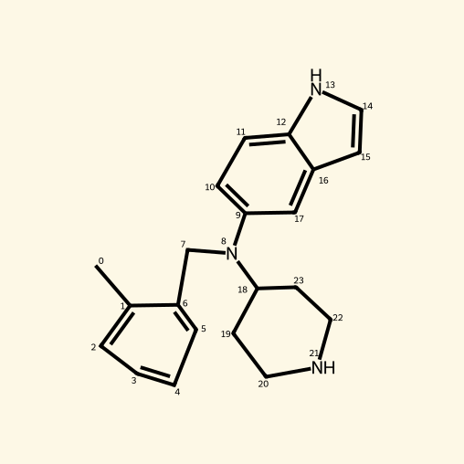 Cc1ccccc1CN(c1ccc2[nH]ccc2c1)C1CCNCC1